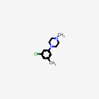 Cc1cc(Cl)cc(N2CCN(C)CC2)c1